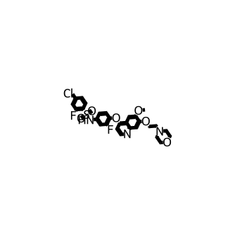 COc1cc2c(Oc3ccc(NS(=O)(=O)c4ccc(Cl)cc4F)cc3F)ccnc2cc1OCCN1CCOCC1